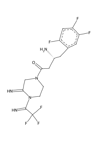 N=C1CN(C(=O)C[C@H](N)Cc2cc(F)c(F)cc2F)CCN1C(=N)C(F)(F)F